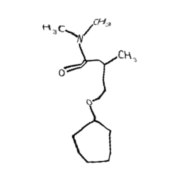 CC(COC1CCCC1)C(=O)N(C)C